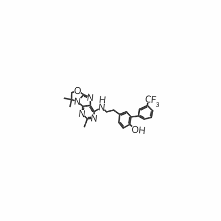 Cc1nc(NCCc2ccc(O)c(-c3cccc(C(F)(F)F)c3)c2)c2nc3n(c2n1)C(C)(C)CO3